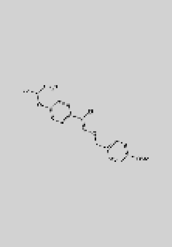 CC/C(=N\OCc1ccc(OC)cc1)c1ccc(OC(CC)C(=O)O)cc1